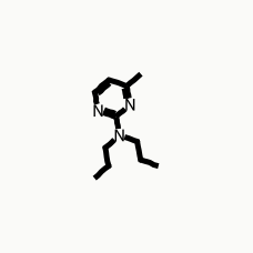 CCCN(CCC)c1nccc(C)n1